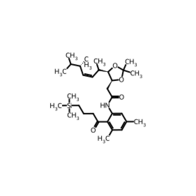 Cc1cc(C)c(C(=O)CCC[Si](C)(C)C)c(NC(=O)C[C@@H]2OC(C)(C)O[C@@H]2C(C)/C=C\[C@@H](C)C(C)C)c1